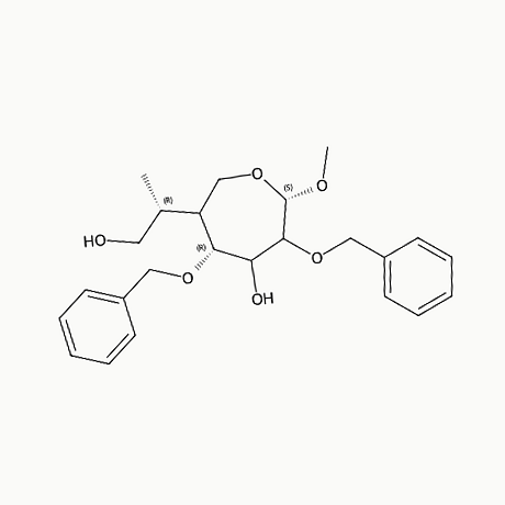 CO[C@H]1OCC([C@@H](C)CO)[C@@H](OCc2ccccc2)C(O)C1OCc1ccccc1